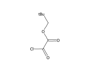 CC(C)(C)COC(=O)C(=O)Cl